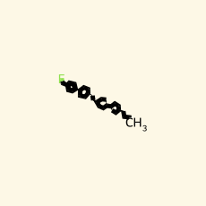 CCCC[C@H]1CC[C@H]([C@H]2CC[C@H](CC[C@H]3CC[C@H](c4ccc(CF)cc4)CC3)CC2)CC1